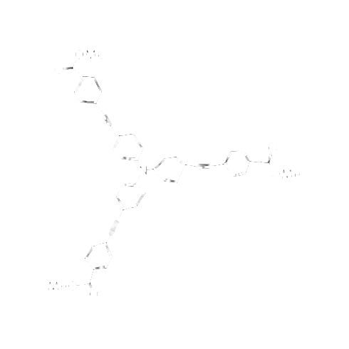 COC(=O)c1ccc(C#Cc2ccc(N(c3ccc(C#Cc4ccc(C(=O)OC)cc4)cc3)c3ccc(C#Cc4ccc(C(=O)OC)cc4)cc3)cc2)cc1